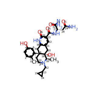 Cc1ccc(O)cc1[C@]12CCN(CC3CC3)[C@H](C)[C@]1(O)Cc1cc(C(=O)N[C@@H](CC(N)=O)C(N)=O)c(=O)[nH]c1C2